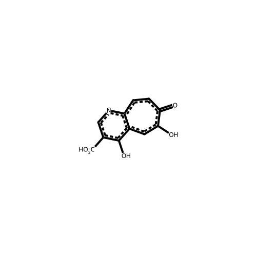 O=C(O)c1cnc2ccc(=O)c(O)cc2c1O